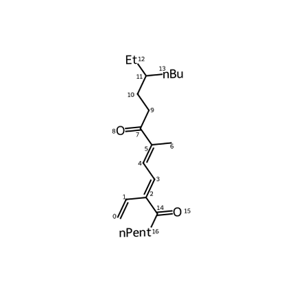 C=C/C(=C\C=C(/C)C(=O)CCC(CC)CCCC)C(=O)CCCCC